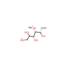 O=C[C@H](O)[C@@H](O)[C@H](O)[C@H](O)CO.[Re]